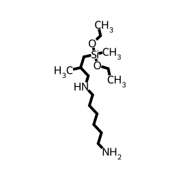 CCO[Si](C)(CC(C)CNCCCCCCN)OCC